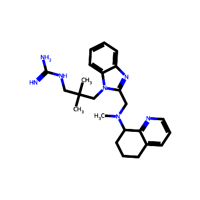 CN(Cc1nc2ccccc2n1CC(C)(C)CNC(=N)N)C1CCCc2cccnc21